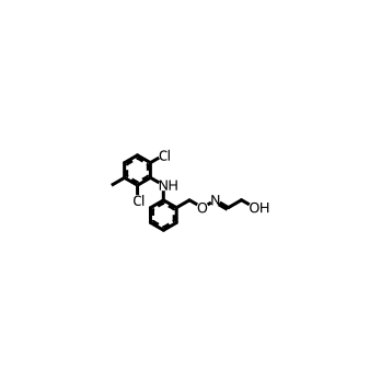 Cc1ccc(Cl)c(Nc2ccccc2CON=CCO)c1Cl